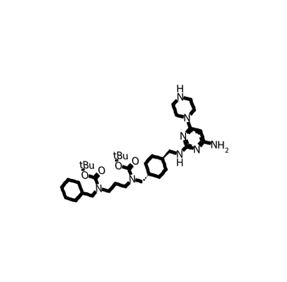 CC(C)(C)OC(=O)N(CCCN(C[C@H]1CC[C@H](CNc2nc(N)cc(N3CCNCC3)n2)CC1)C(=O)OC(C)(C)C)CC1CCCCC1